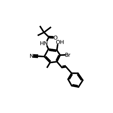 Cc1c(C#N)c(NC(=O)C(C)(C)C)c(O)c(Br)c1/C=C/c1ccccc1